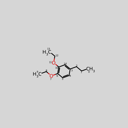 CCCc1ccc(OCC)c(OCC)c1